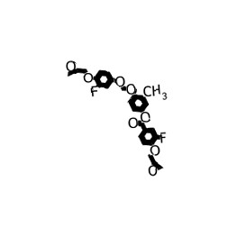 Cc1cc(OC(=O)c2ccc(OCC3CO3)c(F)c2)ccc1OCOc1ccc(OCC2CO2)c(F)c1